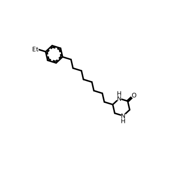 CCc1ccc(CCCCCCCCC2CNCC(=O)N2)cc1